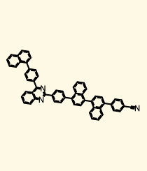 N#Cc1ccc(-c2ccc(-c3ccc(-c4ccc(-c5nc(-c6ccc(-c7cccc8ccccc78)cc6)c6ccccc6n5)cc4)c4ccccc34)c3ccccc23)cc1